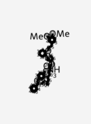 COc1ccc(CCO[C@@H]2CCCC[C@H]2N2CC[C@@H](OC(=O)NCCCCN(C)CC[C@@H](Oc3ccc(C(F)(F)F)cc3)c3ccccc3)C2)cc1OC